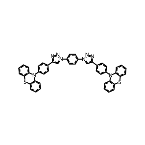 c1ccc2c(c1)Sc1ccccc1N2c1ccc(-c2cn(-c3ccc(-n4cc(-c5ccc(N6c7ccccc7Sc7ccccc76)cc5)nn4)cc3)nn2)cc1